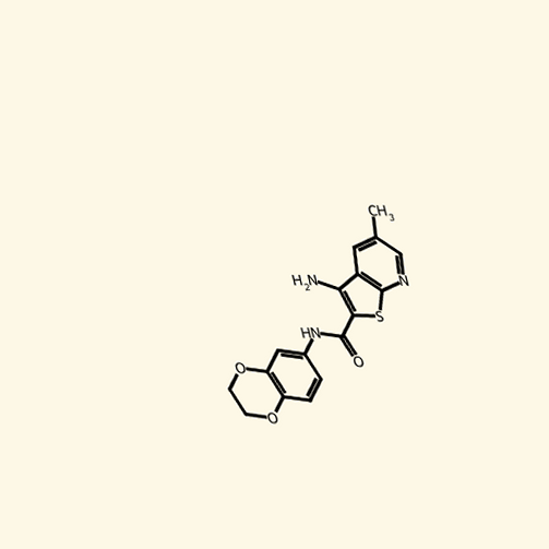 Cc1cnc2sc(C(=O)Nc3ccc4c(c3)OCCO4)c(N)c2c1